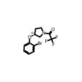 O=C(N1CC[C@H](Oc2ccccc2Br)C1)C(F)(F)F